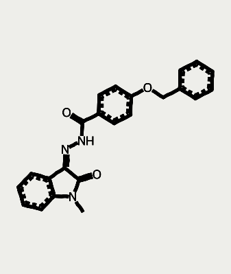 CN1C(=O)/C(=N\NC(=O)c2ccc(OCc3ccccc3)cc2)c2ccccc21